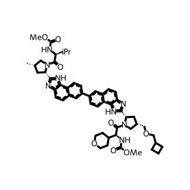 COC(=O)N[C@H](C(=O)N1C[C@@H](C)C[C@H]1c1nc2ccc3cc(-c4ccc5c(ccc6nc([C@@H]7C[C@H](COCC8CCC8)CN7C(=O)[C@@H](NC(=O)OC)C7CCOCC7)[nH]c65)c4)ccc3c2[nH]1)C(C)C